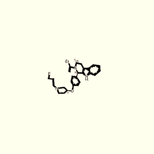 C=C(CC)N1[C@H](c2ccc(O[C@H]3CCN(CCCF)C3)cc2)c2[nH]c3ccccc3c2C[C@H]1C